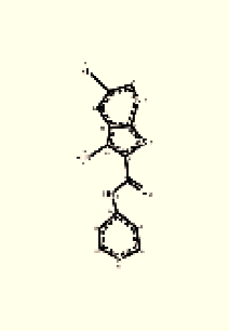 CCc1cnc2sc(C(=O)Nc3ccncc3)c(N)c2c1